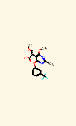 COC=C(C(=O)O)c1c(OC)nc(C)nc1Oc1cccc(C(F)(F)F)c1